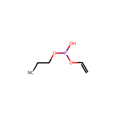 C=COP(O)OCCC#N